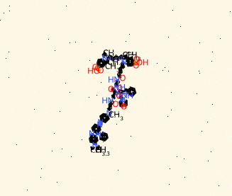 CCN(CC)c1ccc2nc3ccc(/N=N/c4ccc(N(C)CCCC(=O)NCC[C@H](NC(=O)[C@H](CC5CCCCC5)NC(=O)N5CCOCC5)C(=O)NCCNC(=O)CCCCCN5\C(=C/C=C/C=C/C6=[N+](CC)c7ccc(S(=O)(=O)O)cc7C6(C)C)C(C)(C)c6cc(S(=O)(=O)O)ccc65)cc4)cc3[n+](-c3ccccc3)c2c1